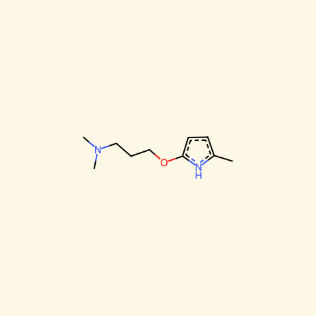 Cc1ccc(OCCCN(C)C)[nH]1